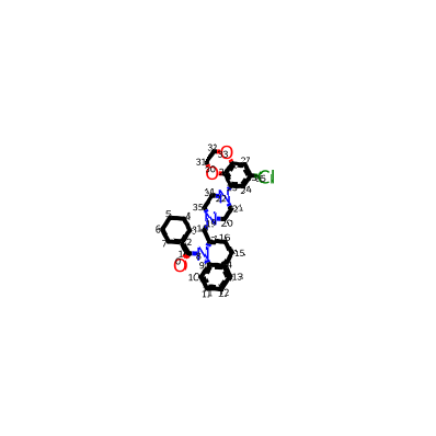 O=C(C1CCCCC1)N1c2ccccc2CCC1CN1CCN(c2cc(Cl)cc3c2OCCO3)CC1